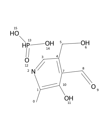 Cc1ncc(CO)c(C=O)c1O.O=[PH](O)O